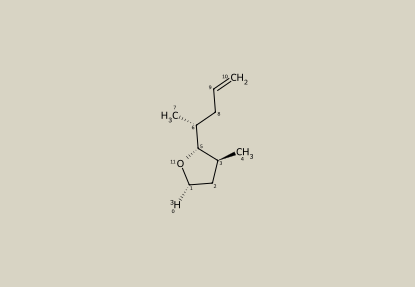 [3H][C@H]1C[C@H](C)[C@@H]([C@H](C)CC=C)O1